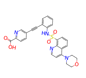 O=C(O)c1ccc(C#Cc2ccccc2NS(=O)(=O)c2cccc3c(N4CCOCC4)ccnc23)cn1